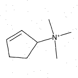 C[N+](C)(C)C1C=CCC1